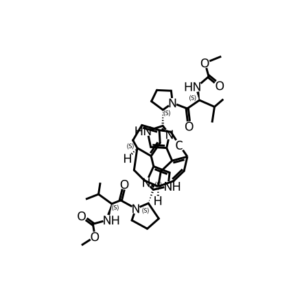 COC(=O)N[C@H](C(=O)N1CCC[C@H]1c1nc(C2=CC3=CC[C@@H]2CC[C@@H]2C=CC(=C(c4c[nH]c([C@@H]5CCCN5C(=O)[C@@H](NC(=O)OC)C(C)C)n4)C2)CC3)c[nH]1)C(C)C